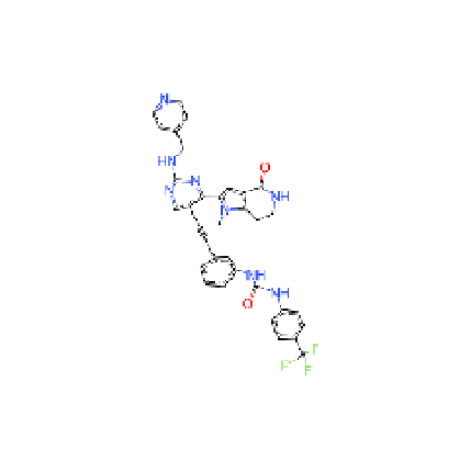 Cn1c(-c2nc(NCc3ccncc3)ncc2C#Cc2cccc(NC(=O)Nc3ccc(C(F)(F)F)cc3)c2)cc2c1CCNC2=O